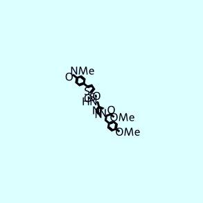 CNC(=O)c1ccc(-c2ccc(S(=O)(=O)NCc3cn(C(Cc4ccc(OC)cc4)C(=O)OC)nn3)s2)cc1